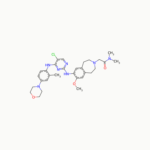 COc1cc2c(cc1Nc1ncc(Cl)c(Nc3ccc(N4CCOCC4)cc3C)n1)CCN(CC(=O)N(C)C)CC2